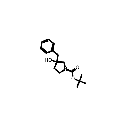 CC(C)(C)OC(=O)N1CCC(O)(Cc2ccccc2)C1